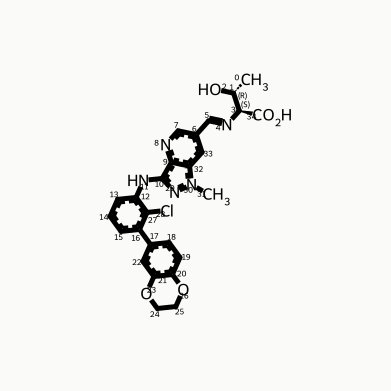 C[C@@H](O)[C@H](N=Cc1cnc2c(Nc3cccc(-c4ccc5c(c4)OCCO5)c3Cl)nn(C)c2c1)C(=O)O